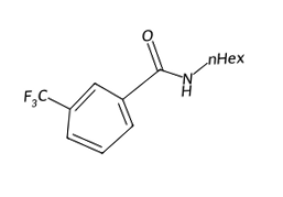 CCCCCCNC(=O)c1cccc(C(F)(F)F)c1